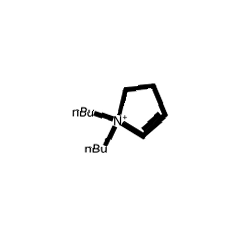 CCCC[N+]1(CCCC)C=CCC1